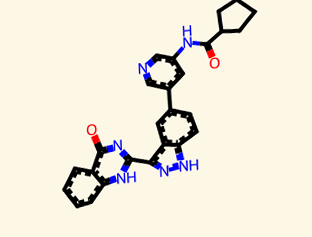 O=C(Nc1cncc(-c2ccc3[nH]nc(-c4nc(=O)c5ccccc5[nH]4)c3c2)c1)C1CCCC1